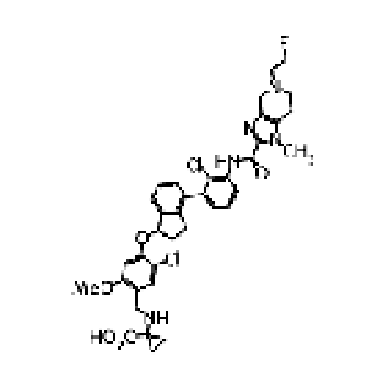 COc1cc(OC2CCc3c(-c4cccc(NC(=O)c5nc6c(n5C)CCN(CCF)C6)c4Cl)cccc32)c(Cl)cc1CNC1(C(=O)O)CC1